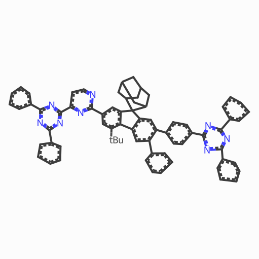 CC(C)(C)c1cc(-c2nccc(-c3nc(-c4ccccc4)nc(-c4ccccc4)n3)n2)cc2c1-c1cc(-c3ccccc3)c(-c3ccc(-c4nc(-c5ccccc5)nc(-c5ccccc5)n4)cc3)cc1C21C2CC3CC(C2)CC1C3